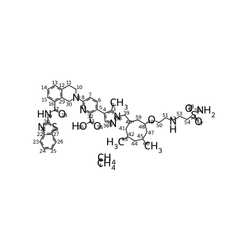 C.C.Cc1c(-c2ccc(N3CCc4cccc(C(=O)Nc5nc6ccccc6s5)c4C3)nc2C(=O)O)cnn1C[C]1CC(C)CC(C)CC(OCCNCCS(N)(=O)=O)C1